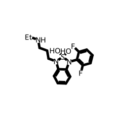 CCNCCCN1c2ccccc2N(c2c(F)cccc2F)S1(O)O